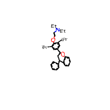 CCN(CC)CCOc1c(C(C)C)cc(C(=O)CC(c2ccccc2)c2ccccc2)cc1C(C)C